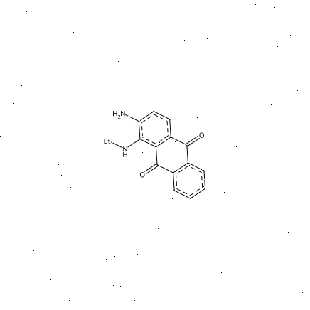 CCNc1c(N)ccc2c1C(=O)c1ccccc1C2=O